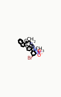 C=C(/C=C/C=C1/N(C)c2c([N+](=O)[O-])cc(Br)cc2C12CCCCC2)C(C)(C)c1c(C)ccc2ccccc12